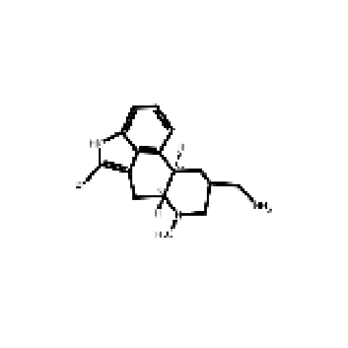 CN1CC(CN)C[C@@H]2c3cccc4[nH]c(Br)c(c34)C[C@H]21